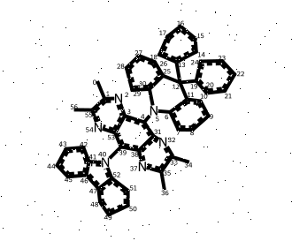 Cc1nc2c(N3c4ccccc4C(c4ccccc4)(c4ccccc4)c4ccccc43)c3nc(C)c(C)nc3c(-n3c4ccccc4c4ccccc43)c2nc1C